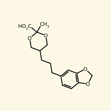 CC1(C(=O)O)OCC(CCCc2ccc3c(c2)OCO3)CO1